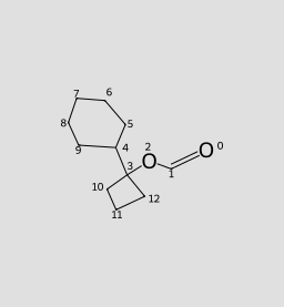 O=COC1(C2CCCCC2)CCC1